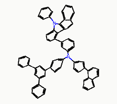 c1ccc(-c2cc(-c3ccccc3)cc(-c3ccc(N(c4ccc(-c5cccc6ccccc56)cc4)c4cccc(-c5cccc6c5c5ccc7ccccc7c5n6-c5ccccc5)c4)cc3)c2)cc1